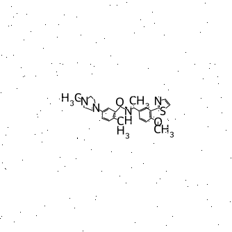 COc1ccc([C@@H](C)NC(=O)c2cc(N3CCN(C)CC3)ccc2C)cc1-c1nccs1